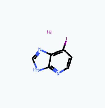 I.Ic1ccnc2[nH]cnc12